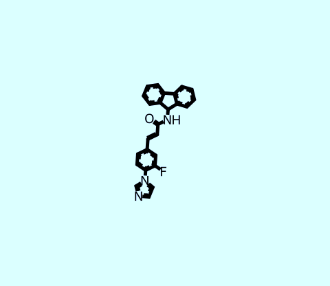 O=C(/C=C/c1ccc(-n2ccnc2)c(F)c1)NC1c2ccccc2-c2ccccc21